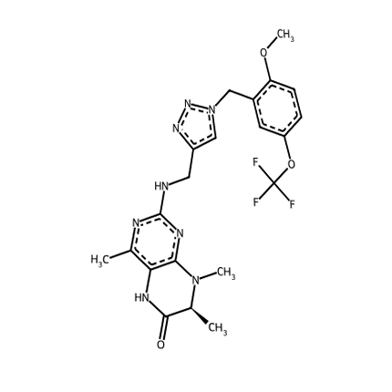 COc1ccc(OC(F)(F)F)cc1Cn1cc(CNc2nc(C)c3c(n2)N(C)[C@@H](C)C(=O)N3)nn1